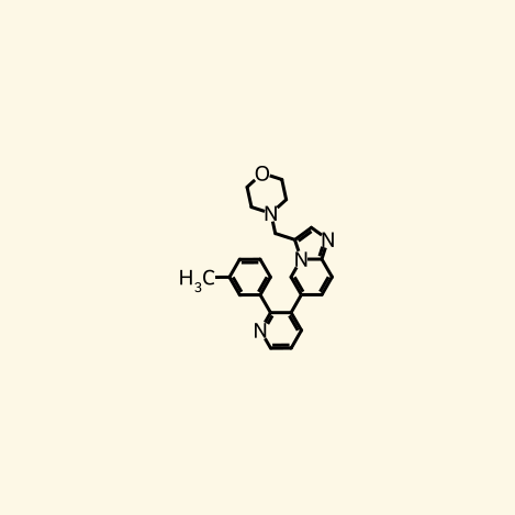 Cc1cccc(-c2ncccc2-c2ccc3ncc(CN4CCOCC4)n3c2)c1